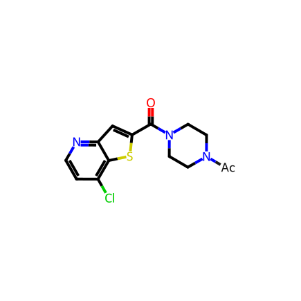 CC(=O)N1CCN(C(=O)c2cc3nccc(Cl)c3s2)CC1